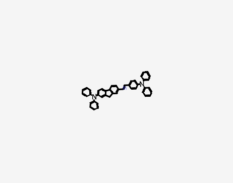 C(=C\c1ccc2c(c1)Cc1cc(N(c3ccccc3)c3ccccc3)ccc1-2)/c1ccc(N(c2ccccc2)c2ccccc2)cc1